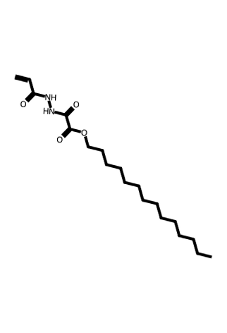 C=CC(=O)NNC(=O)C(=O)OCCCCCCCCCCCCCC